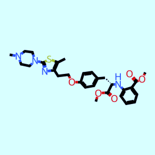 COC(=O)c1ccccc1N[C@@H](Cc1ccc(OCCc2nc(N3CCN(C)CC3)sc2C)cc1)C(=O)OC